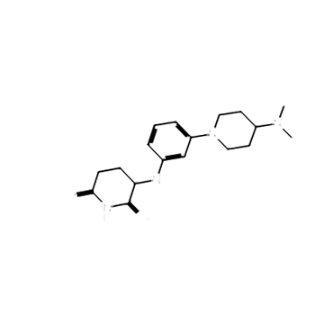 CN(C)C1CCN(c2cccc(NC3CCC(=O)NC3=O)c2)CC1